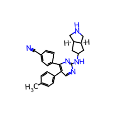 Cc1ccc(-c2cnc(NC3C[C@H]4CNC[C@H]4C3)nc2-c2ccc(C#N)cc2)cc1